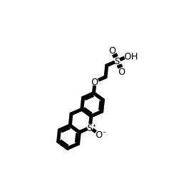 O=S(=O)(O)CCOc1ccc2c(c1)Cc1ccccc1[S+]2[O-]